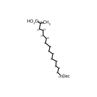 CCCCCCCCCCCCCCCCCCCCCCCC(C)C(=O)O